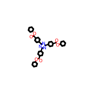 O=C(Oc1ccccc1)c1ccc(-c2nc(-c3ccc(C(=O)Oc4ccccc4)cc3)nc(-c3ccc(C(=O)Oc4ccccc4)cc3)n2)cc1